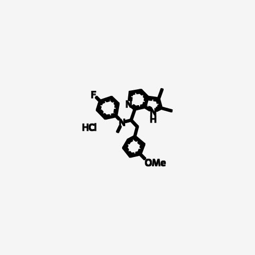 COc1cccc(CC(c2nccc3c(C)c(C)[nH]c23)N(C)c2ccc(F)cc2)c1.Cl